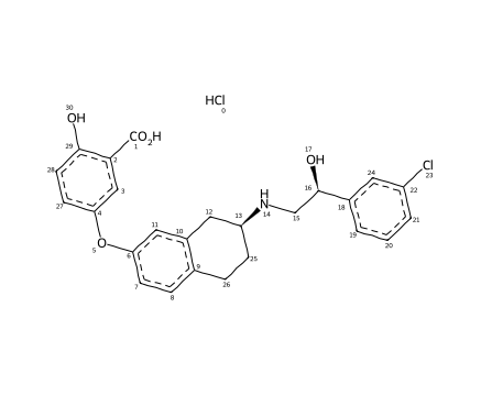 Cl.O=C(O)c1cc(Oc2ccc3c(c2)C[C@@H](NC[C@@H](O)c2cccc(Cl)c2)CC3)ccc1O